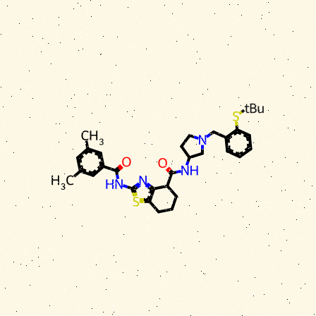 Cc1cc(C)cc(C(=O)Nc2nc3c(s2)CCCC3C(=O)NC2CCN(Cc3ccccc3SC(C)(C)C)C2)c1